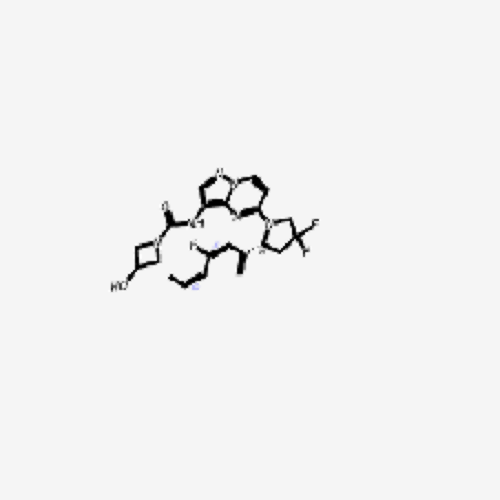 C=C(/C=C(F)\C=C/C)[C@H]1CC(F)(F)CN1c1ccn2ncc(NC(=O)N3CC(O)C3)c2n1